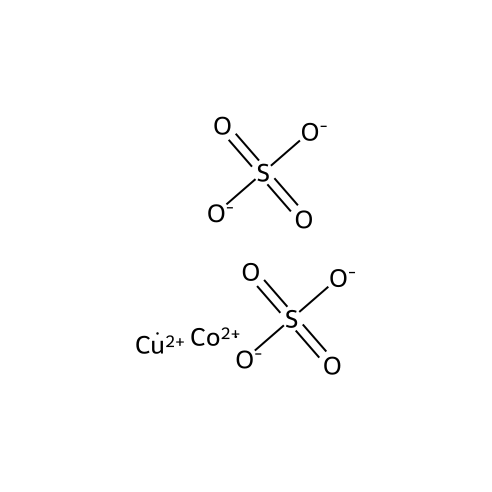 O=S(=O)([O-])[O-].O=S(=O)([O-])[O-].[Co+2].[Cu+2]